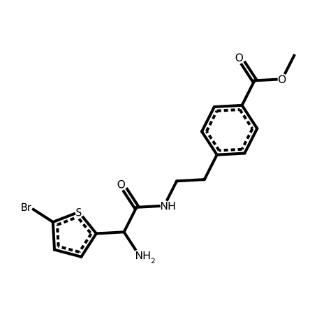 COC(=O)c1ccc(CCNC(=O)C(N)c2ccc(Br)s2)cc1